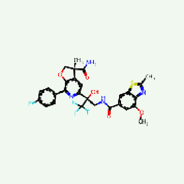 COc1cc(C(=O)NCC(O)(c2cc3c(c(-c4ccc(F)cc4)n2)OC[C@]3(C)C(N)=O)C(F)(F)F)cc2sc(C)nc12